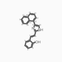 Oc1ccccc1C=Cc1nc(-c2cccc3ccccc23)c[nH]1